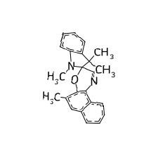 Cc1cc2ccccc2c2c1OC1(C=N2)N(C)c2ccccc2C1(C)C